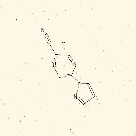 N#Cc1ccc(-n2c[c]cn2)cc1